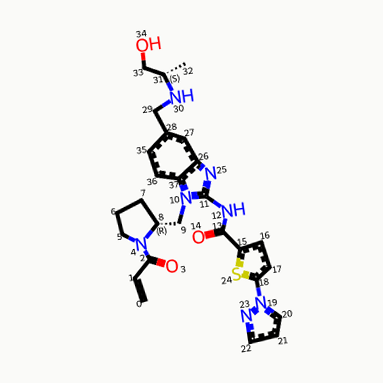 C=CC(=O)N1CCC[C@@H]1Cn1c(NC(=O)c2ccc(-n3cccn3)s2)nc2cc(CN[C@@H](C)CO)ccc21